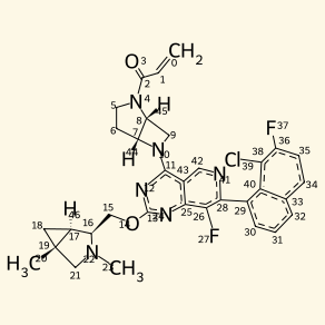 C=CC(=O)N1CC[C@@H]2[C@H]1CN2c1nc(OC[C@@H]2[C@@H]3C[C@@]3(C)CN2C)nc2c(F)c(-c3cccc4ccc(F)c(Cl)c34)ncc12